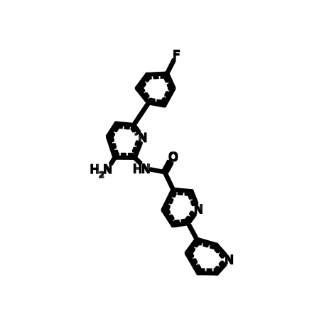 Nc1ccc(-c2ccc(F)cc2)nc1NC(=O)c1ccc(-c2cccnc2)nc1